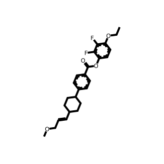 CCOc1ccc(OC(=O)c2ccc(C3CCC(C=CCOC)CC3)cc2)c(F)c1F